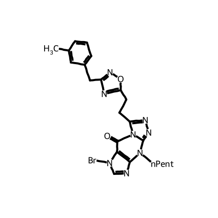 CCCCCn1c2ncn(Br)c2c(=O)n2c(CCc3nc(Cc4cccc(C)c4)no3)nnc12